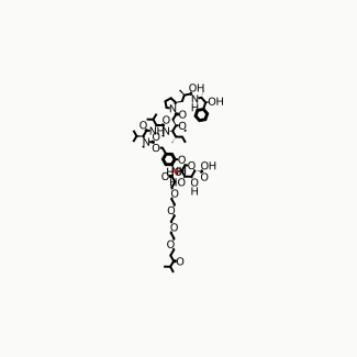 CC[C@H](C)[C@@H]([C@@H](CC(=O)N1CCC[C@H]1C[C@@H](C)C(O)N[C@H](C)[C@@H](O)c1ccccc1)OC)N(C)C(=O)[C@@H](NC(=O)[C@H](C(C)C)N(C)C(=O)OCc1ccc(NC(=O)CCOCCOCCOCCOCCC(=O)C(C)C)c(O[C@@H]2O[C@H](C(=O)O)[C@@H](O)[C@H](O)[C@H]2O)c1)C(C)C